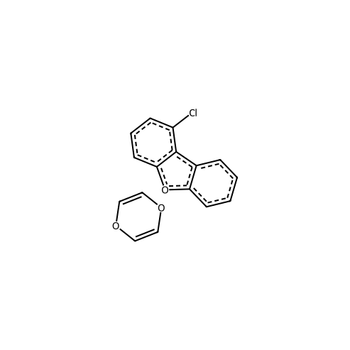 C1=COC=CO1.Clc1cccc2oc3ccccc3c12